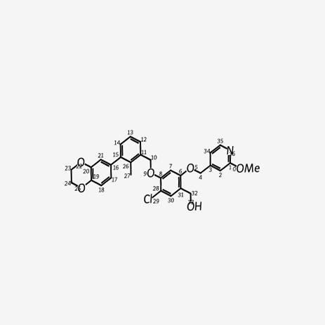 COc1cc(COc2cc(OCc3cccc(-c4ccc5c(c4)OCCO5)c3C)c(Cl)cc2CO)ccn1